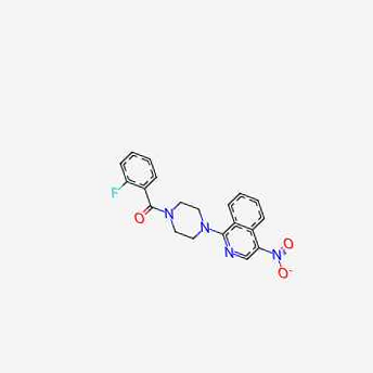 O=C(c1ccccc1F)N1CCN(c2ncc([N+](=O)[O-])c3ccccc23)CC1